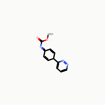 CCCCCCCCOC(=O)N=C1C=CC(c2cccnn2)C=C1